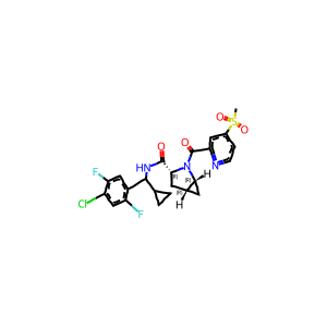 CS(=O)(=O)c1ccnc(C(=O)N2[C@@H](C(=O)NC(c3cc(F)c(Cl)cc3F)C3CC3)C[C@H]3C[C@H]32)c1